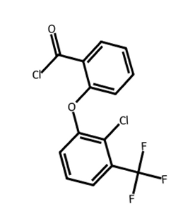 O=C(Cl)c1ccccc1Oc1cccc(C(F)(F)F)c1Cl